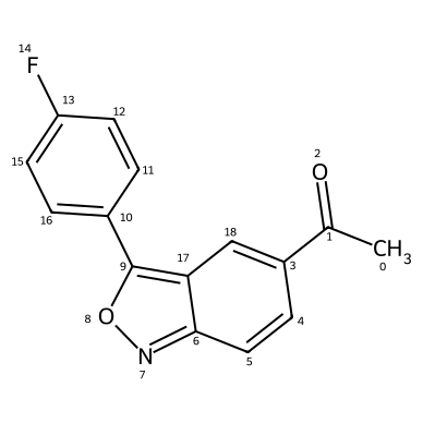 CC(=O)c1ccc2noc(-c3ccc(F)cc3)c2c1